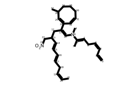 C=C/C=C\C/C=C(\C)N(C)\C=C(CC(/C=C/C=CC/C=C\C)C[N+](=O)[O-])/C1=C/C(C)CCC/C=C\1